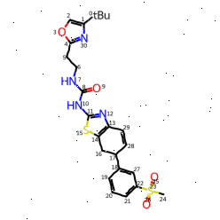 CC(C)(C)c1coc(CCNC(=O)Nc2nc3c(s2)CC(c2cccc(S(C)(=O)=O)c2)C=C3)n1